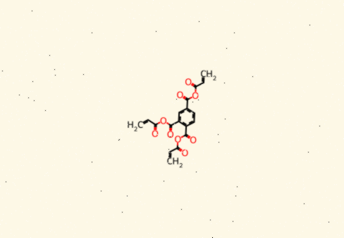 C=CC(=O)OC(=O)c1ccc(C(=O)OC(=O)C=C)c(C(=O)OC(=O)C=C)c1